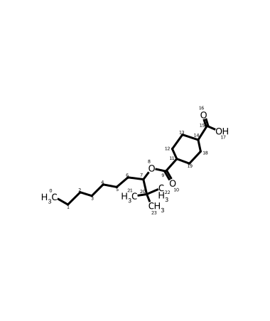 CCCCCCCC(OC(=O)C1CCC(C(=O)O)CC1)C(C)(C)C